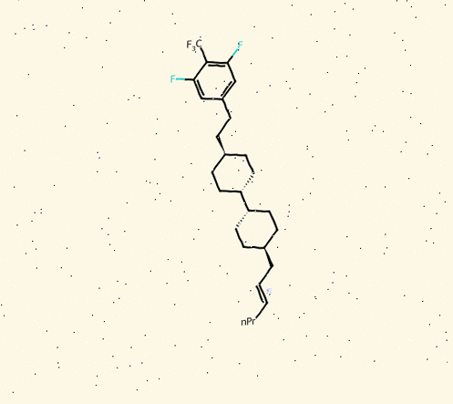 CCC/C=C/C[C@H]1CC[C@H]([C@H]2CC[C@H](CCc3cc(F)c(C(F)(F)F)c(F)c3)CC2)CC1